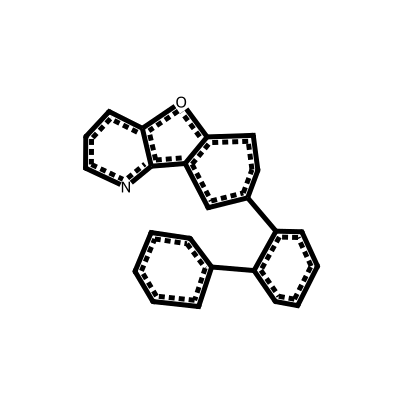 c1ccc(-c2ccccc2-c2ccc3oc4cccnc4c3c2)cc1